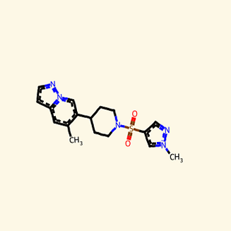 Cc1cc2ccnn2cc1C1CCN(S(=O)(=O)c2cnn(C)c2)CC1